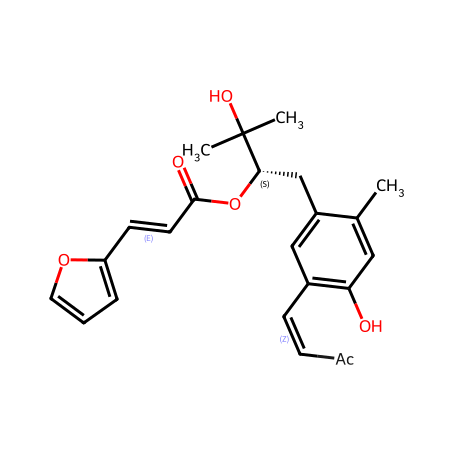 CC(=O)/C=C\c1cc(C[C@H](OC(=O)/C=C/c2ccco2)C(C)(C)O)c(C)cc1O